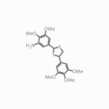 COc1cc(C2SCC(c3cc(OC)c(OC)c(OC)c3)S2)cc(N)c1OC